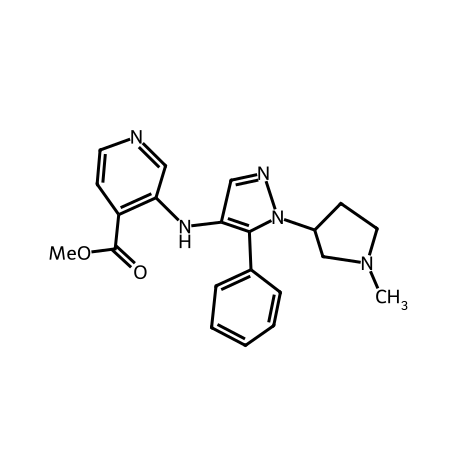 COC(=O)c1ccncc1Nc1cnn(C2CCN(C)C2)c1-c1ccccc1